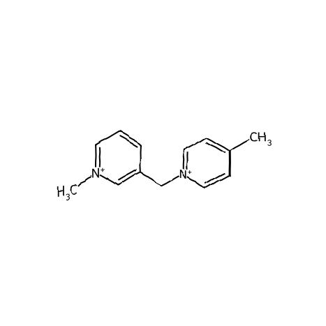 Cc1cc[n+](Cc2ccc[n+](C)c2)cc1